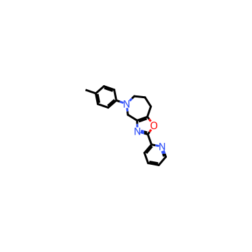 Cc1ccc(N2CCCc3oc(-c4ccccn4)nc3C2)cc1